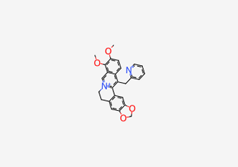 COc1ccc2c(Cc3ccccn3)c3[n+](cc2c1OC)CCc1cc2c(cc1-3)OCO2